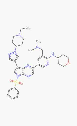 CCN1CCC(n2cc(-c3cn(S(=O)(=O)c4ccccc4)c4ncc(-c5cnc(NC6CCOCC6)c(CN(C)C)c5)nc34)cn2)CC1